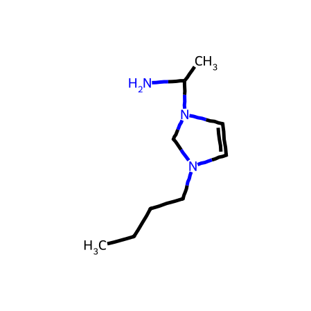 CCCCN1C=CN(C(C)N)C1